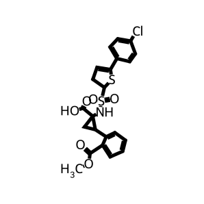 COC(=O)c1ccccc1C1CC1(NS(=O)(=O)C1CC=C(c2ccc(Cl)cc2)S1)C(=O)O